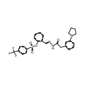 O=C(Cc1cccc(N2CCCC2)c1)NN=Cc1ccccc1OS(=O)(=O)c1ccc(C(F)(F)F)cc1